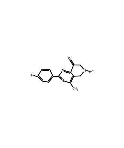 [2H]c1ccc(-c2nc(C)c3c(n2)C(=O)CN(CCC)C3)cc1